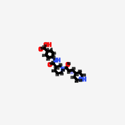 O=C(O)c1ccc(NC(=O)[C@@H]2CCCN(C(=O)/C=C/C3CCNCC3)C2)cc1